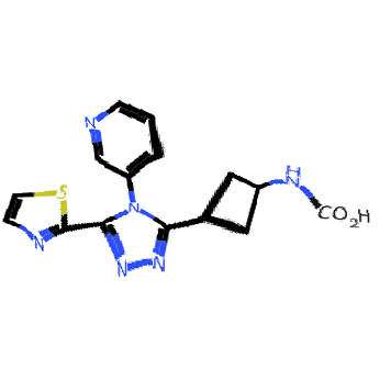 O=C(O)NC1CC(c2nnc(-c3nccs3)n2-c2cccnc2)C1